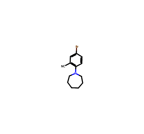 N#Cc1cc(Br)ccc1N1CCCCCC1